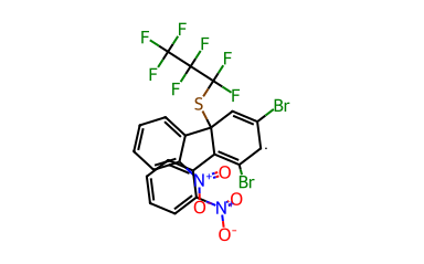 O=[N+]([O-])c1ccccc1C1=C(Br)[CH]C(Br)=CC1(SC(F)(F)C(F)(F)C(F)(F)F)c1ccccc1[N+](=O)[O-]